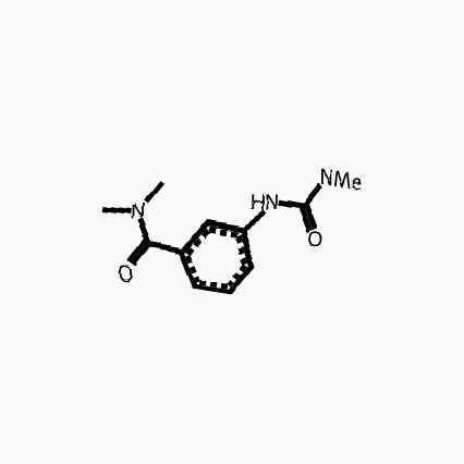 CNC(=O)Nc1cccc(C(=O)N(C)C)c1